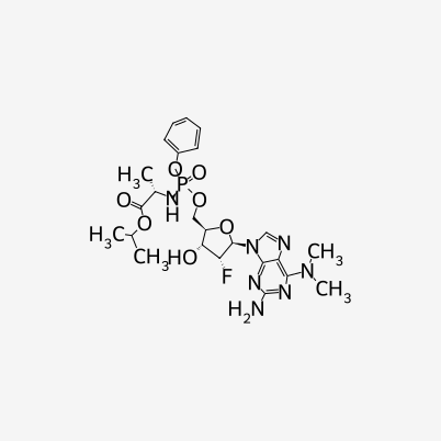 CC(C)OC(=O)[C@H](C)N[P@@](=O)(OC[C@H]1O[C@@H](n2cnc3c(N(C)C)nc(N)nc32)[C@H](F)[C@@H]1O)Oc1ccccc1